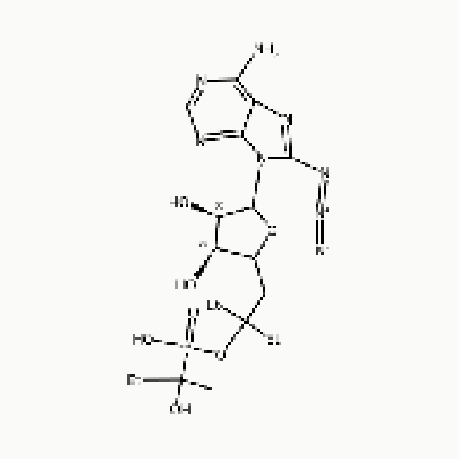 CCC(CC)(CC1OC(n2c(N=[N+]=[N-])nc3c(N)ncnc32)[C@H](O)[C@@H]1O)OP(=O)(O)C(C)(O)CC